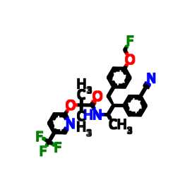 CC(NC(=O)C(C)(C)Oc1ccc(C(F)(F)F)cn1)[C@@H](Cc1ccc(OCF)cc1)c1cccc(C#N)c1